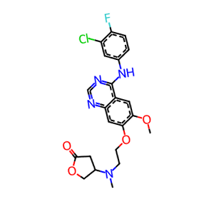 COc1cc2c(Nc3ccc(F)c(Cl)c3)ncnc2cc1OCCN(C)C1COC(=O)C1